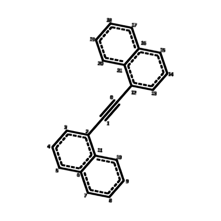 C(#Cc1cccc2ccccc12)c1cccc2ccccc12